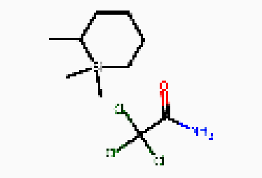 CC1CCCC[Si]1(C)C.NC(=O)C(Cl)(Cl)Cl